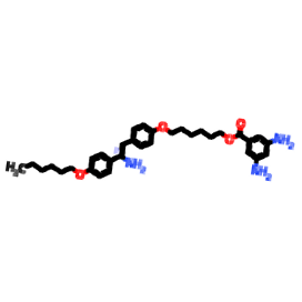 CCCCCCOc1ccc(/C(N)=C/c2ccc(OCCCCCCOC(=O)c3cc(N)cc(N)c3)cc2)cc1